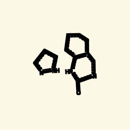 O=c1ncc2ccccc2[nH]1.c1cn[nH]c1